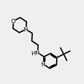 CC(C)(C)c1ccnc(NCCCN2CCOCC2)c1